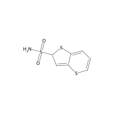 NS(=O)(=O)C1C=C2SC=CC=C2S1